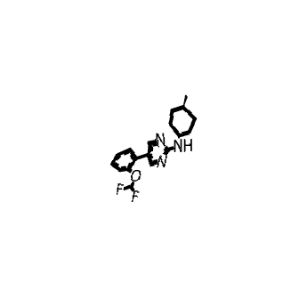 C[C@H]1CC[C@H](Nc2ncc(-c3ccccc3OC(F)F)cn2)CC1